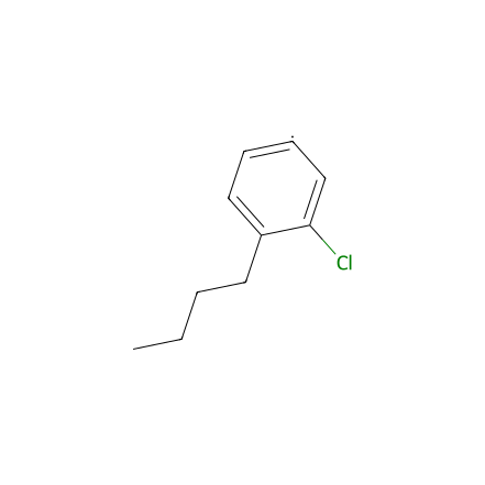 CCCCc1cc[c]cc1Cl